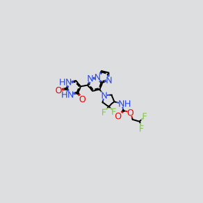 O=C(NC1CN(c2cc(-c3c[nH]c(=O)[nH]c3=O)nn3ccnc23)CC1(F)F)OCC(F)F